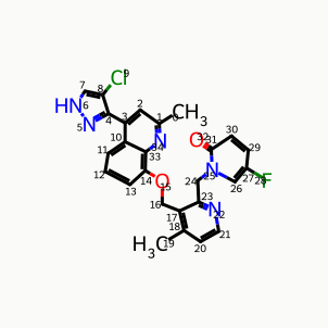 Cc1cc(-c2n[nH]cc2Cl)c2cccc(OCc3c(C)ccnc3Cn3cc(F)ccc3=O)c2n1